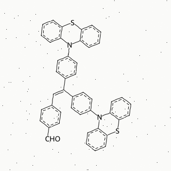 O=Cc1ccc(C=C(c2ccc(N3c4ccccc4Sc4ccccc43)cc2)c2ccc(N3c4ccccc4Sc4ccccc43)cc2)cc1